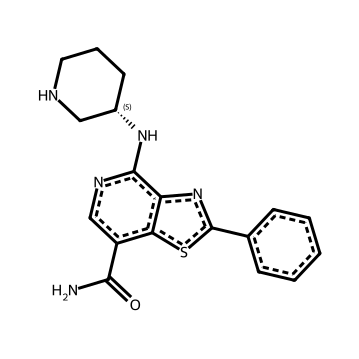 NC(=O)c1cnc(N[C@H]2CCCNC2)c2nc(-c3ccccc3)sc12